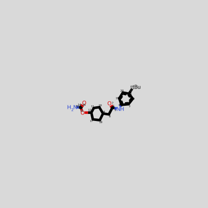 CC(C)(C)c1ccc(NC(=O)CC2CCC(OC(N)=O)CC2)cc1